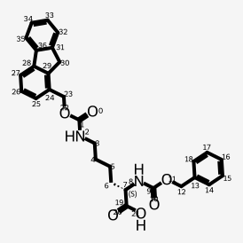 O=C(NCCCC[C@H](NC(=O)OCc1ccccc1)C(=O)O)OCc1cccc2c1Cc1ccccc1-2